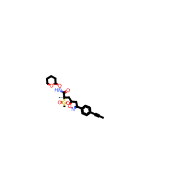 CC#Cc1ccc(C2=NOC(C[C@](C)(C(=O)NOC3CCCCO3)S(C)(=O)=O)C2)cc1